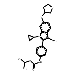 CC(C)C(C)OC(=O)Nc1ccc(-c2c(N)c3ccc(OC4CCOC4)cc3n2C2CC2)cc1